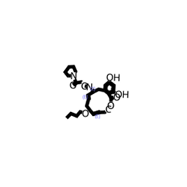 CCCCOC1/C=C/CCOC(=O)c2c(O)cc(O)cc2CC(=N/OCC(=O)N2CCCCC2)/C=C/C1